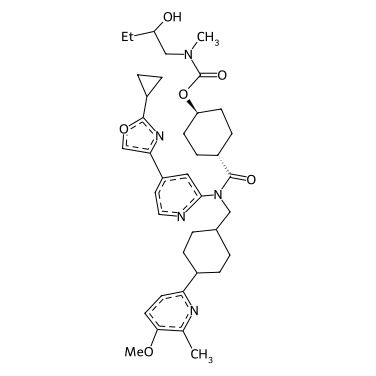 CCC(O)CN(C)C(=O)O[C@H]1CC[C@H](C(=O)N(CC2CCC(c3ccc(OC)c(C)n3)CC2)c2cc(-c3coc(C4CC4)n3)ccn2)CC1